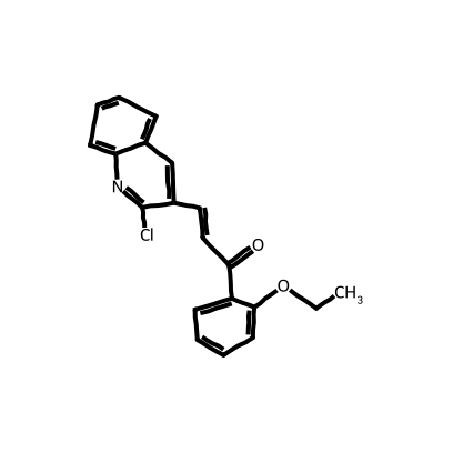 CCOc1ccccc1C(=O)C=Cc1cc2ccccc2nc1Cl